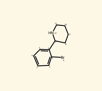 Brc1ccccc1C1CCCCN1